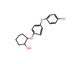 OC1CCCCC1Oc1ccc(Sc2ccc(Cl)cc2)cc1